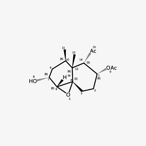 CC(=O)O[C@@H]1CC[C@@]23O[C@@H]2[C@H](O)C[C@@H](C)[C@]3(C)[C@@H]1C(C)=O